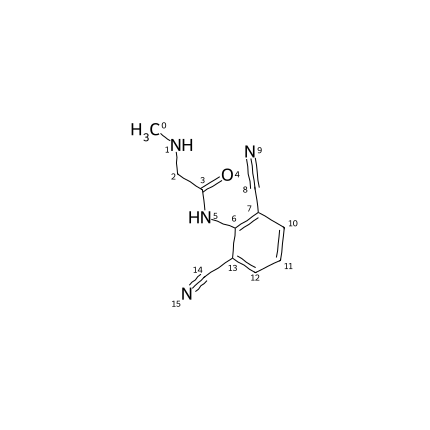 CNCC(=O)Nc1c(C#N)cccc1C#N